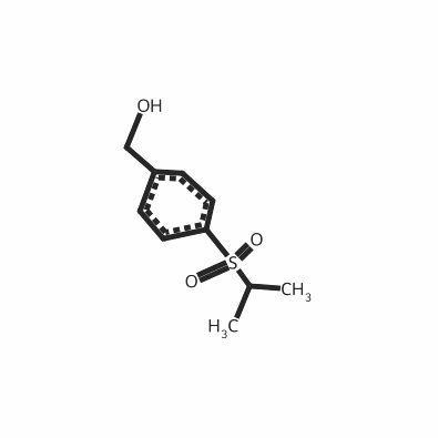 CC(C)S(=O)(=O)c1ccc(CO)cc1